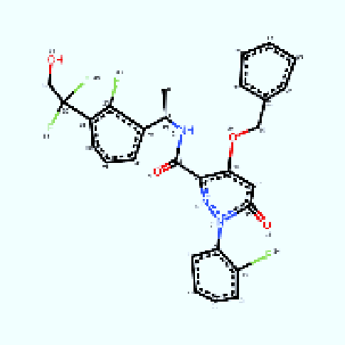 C[C@@H](NC(=O)c1nn(-c2ccccc2F)c(=O)cc1OCc1ccccc1)c1cccc(C(F)(F)CO)c1F